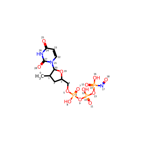 CC1CC(COP(=O)(O)OP(=O)(O)OP(=O)(O)N=O)OC1n1ccc(=O)[nH]c1=O